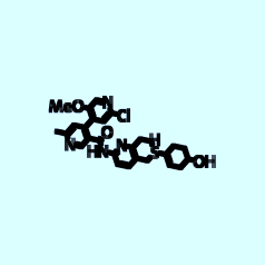 COc1cnc(Cl)cc1-c1cc(C)ncc1C(=O)Nc1ccc2c(n1)CC[SH](C1=CCC(O)CC1)C2